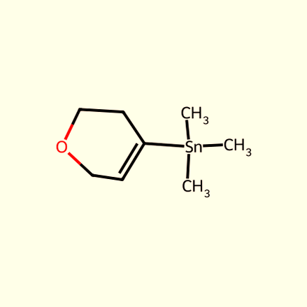 [CH3][Sn]([CH3])([CH3])[C]1=CCOCC1